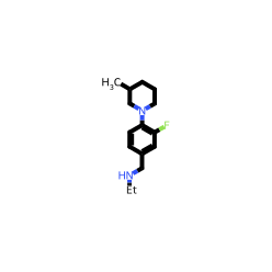 CCNCc1ccc(N2CCCC(C)C2)c(F)c1